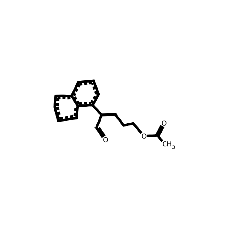 CC(=O)OCCCC([C]=O)c1cccc2ccccc12